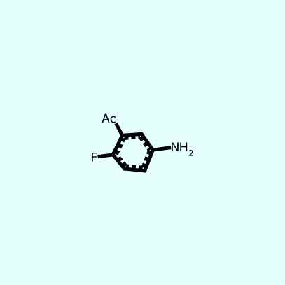 CC(=O)c1cc(N)ccc1F